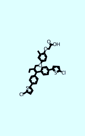 CCC(COc1ccc(OCC(=O)O)c(C)c1)=C(c1ccc(-c2ccc(Cl)s2)cc1)c1ccc(-c2ccc(Cl)s2)cc1